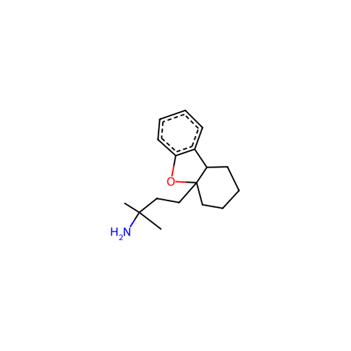 CC(C)(N)CCC12CCCCC1c1ccccc1O2